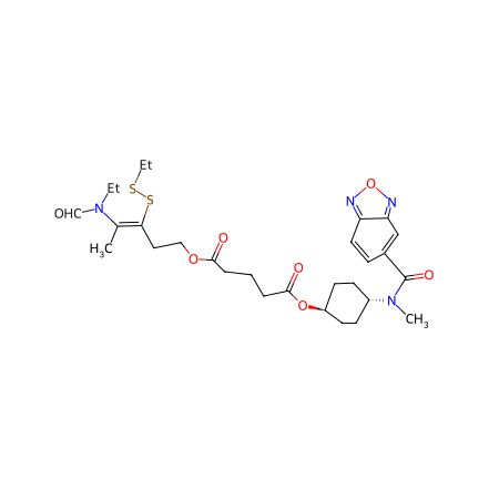 CCSS/C(CCOC(=O)CCCC(=O)O[C@H]1CC[C@H](N(C)C(=O)c2ccc3nonc3c2)CC1)=C(/C)N(C=O)CC